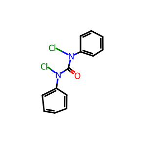 O=C(N(Cl)c1ccccc1)N(Cl)c1ccccc1